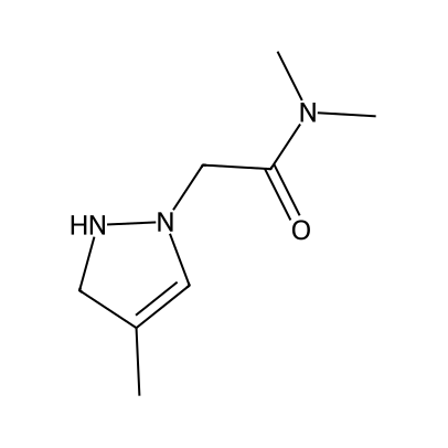 CC1=CN(CC(=O)N(C)C)NC1